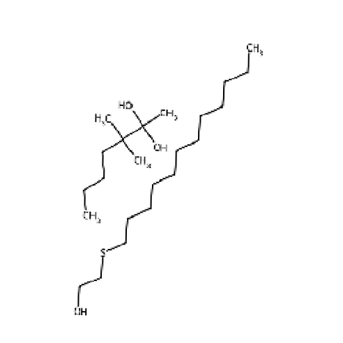 CCCCC(C)(C)C(C)(O)O.CCCCCCCCCCCCSCCO